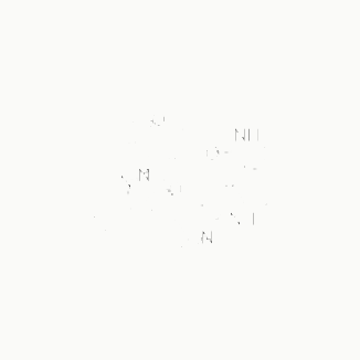 NC(=O)c1cccc(Nc2cc(Oc3cc(C4CC4)nn3C3CCOCC3)ccn2)c1